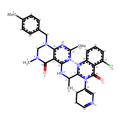 COc1ccc(CN2CN(C)C(=O)c3c(NC(C)c4nc5cccc(Cl)c5c(=O)n4C4=CN=CCC4)nc(SC)nc32)cc1